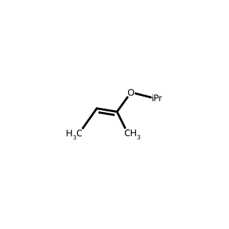 C/C=C(\C)OC(C)C